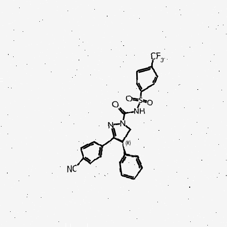 N#Cc1ccc(C2=NN(C(=O)NS(=O)(=O)c3ccc(C(F)(F)F)cc3)C[C@H]2c2ccccc2)cc1